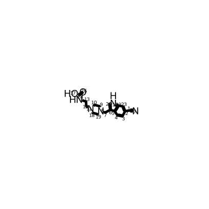 N#Cc1ccc2c(CN3CCN(CCNC(=O)O)CC3)c[nH]c2c1